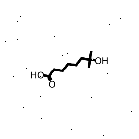 CC(C)(O)CCCCCC(=O)O